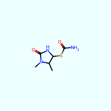 CC1C(SC(N)=O)NC(=O)N1C